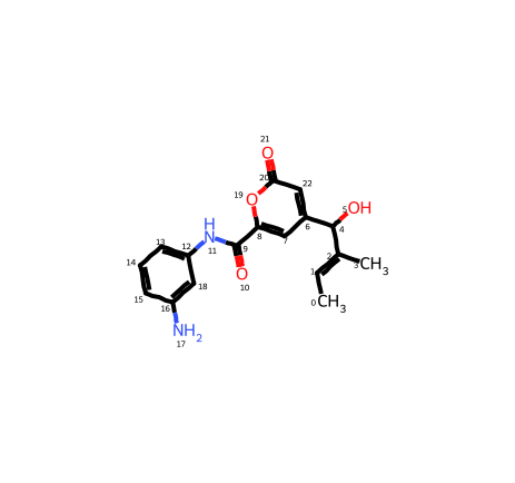 CC=C(C)C(O)c1cc(C(=O)Nc2cccc(N)c2)oc(=O)c1